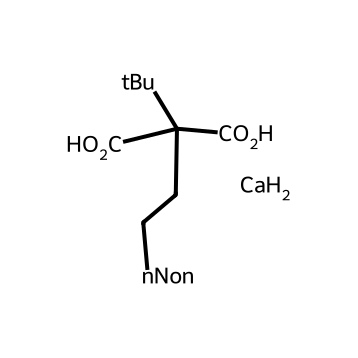 CCCCCCCCCCCC(C(=O)O)(C(=O)O)C(C)(C)C.[CaH2]